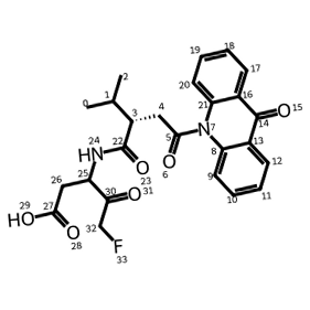 CC(C)[C@H](CC(=O)n1c2ccccc2c(=O)c2ccccc21)C(=O)NC(CC(=O)O)C(=O)CF